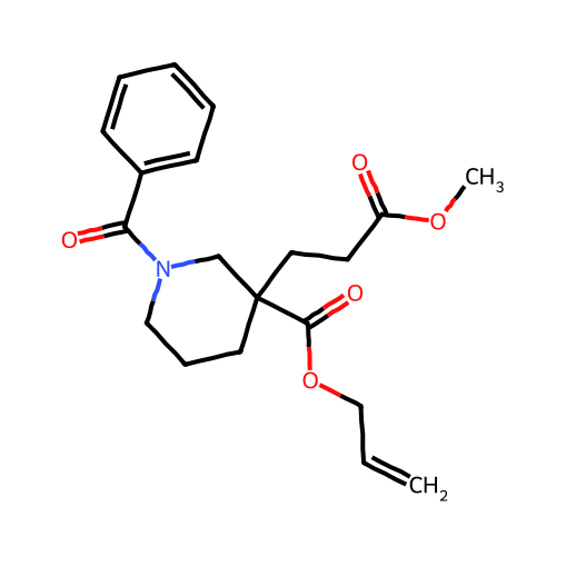 C=CCOC(=O)C1(CCC(=O)OC)CCCN(C(=O)c2ccccc2)C1